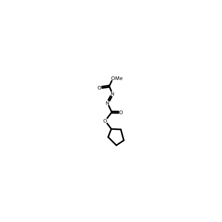 COC(=O)/N=N/C(=O)OC1CCCC1